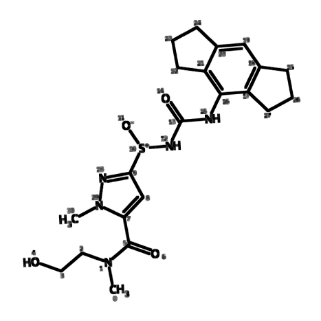 CN(CCO)C(=O)c1cc([S+]([O-])NC(=O)Nc2c3c(cc4c2CCC4)CCC3)nn1C